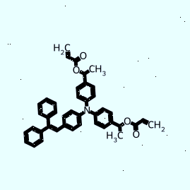 C=CC(=O)OC(C)c1ccc(N(c2ccc(C=C(c3ccccc3)c3ccccc3)cc2)c2ccc(C(C)OC(=O)C=C)cc2)cc1